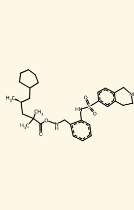 C[C@@H](CC1CCCCC1)CC(C)(C)C(=O)ONCc1ccccc1NS(=O)(=O)c1ccc2c(c1)CCNC2